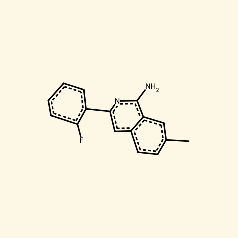 Cc1ccc2cc(-c3ccccc3F)nc(N)c2c1